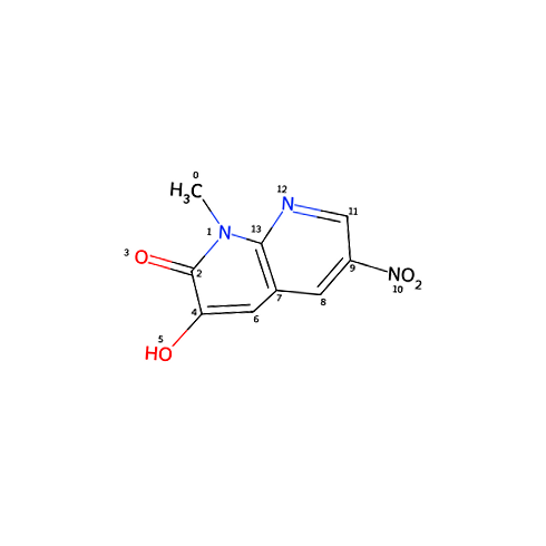 Cn1c(=O)c(O)cc2cc([N+](=O)[O-])cnc21